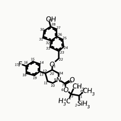 CC([SiH3])C(C)(C)OC(=O)N1CCC(c2ccc(F)cc2)C(OCc2ccc3cc(O)ccc3c2)C1